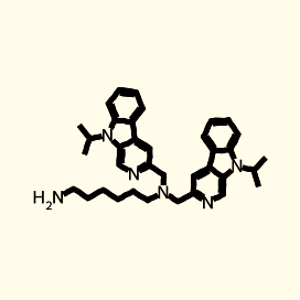 CC(C)n1c2ccccc2c2cc(CN(CCCCCCN)Cc3cc4c5ccccc5n(C(C)C)c4cn3)ncc21